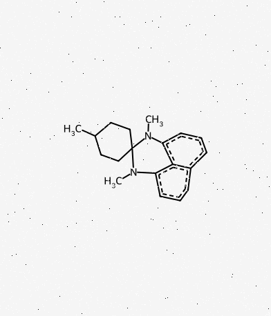 CC1CCC2(CC1)N(C)c1cccc3cccc(c13)N2C